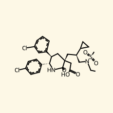 CCN(C[C@@H](C[C@]1(CC(=O)O)C[C@H](c2cccc(Cl)c2)[C@@H](c2ccc(Cl)cc2)NC1=O)C1CC1)S(C)(=O)=O